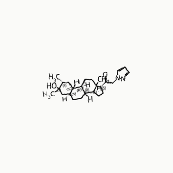 C[C@@H]1C[C@H]2[C@@H](CC[C@@H]3[C@@H]2CCC2(C)[C@@H](C(=O)Cn4cccn4)CC[C@@H]32)C[C@]1(C)O